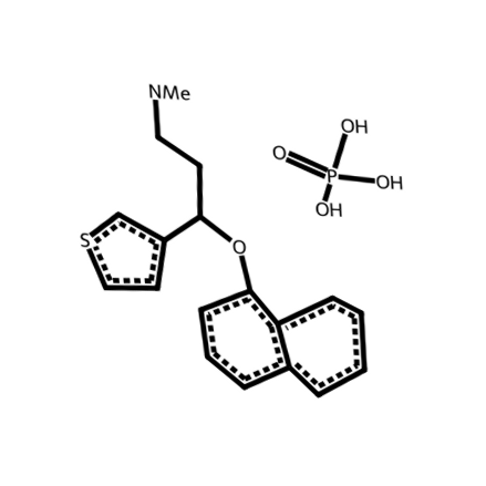 CNCCC(Oc1cccc2ccccc12)c1ccsc1.O=P(O)(O)O